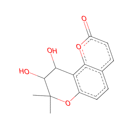 CC1(C)Oc2ccc3ccc(=O)oc3c2C(O)C1O